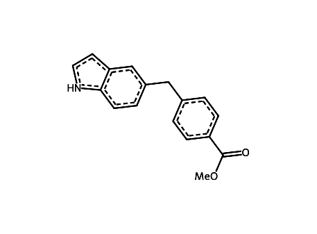 COC(=O)c1ccc(Cc2ccc3[nH]ccc3c2)cc1